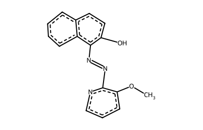 COc1cccnc1N=Nc1c(O)ccc2ccccc12